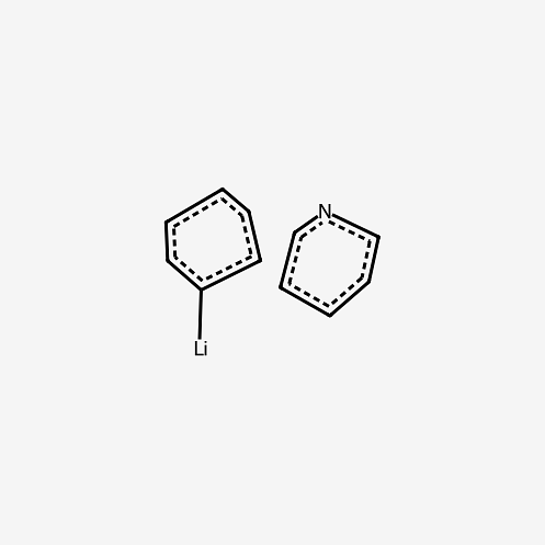 [Li][c]1ccccc1.c1ccncc1